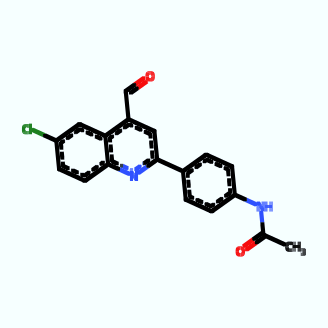 CC(=O)Nc1ccc(-c2cc(C=O)c3cc(Cl)ccc3n2)cc1